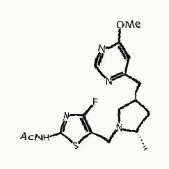 COc1cc(C[C@H]2C[C@H](C)N(Cc3sc(NC(C)=O)nc3F)C2)ncn1